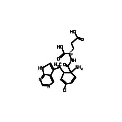 CC(c1c[nH]c2ncncc12)C1C=C(Cl)C=CC1(N)C(=O)N[C@@H](CCC(=O)O)C(=O)O